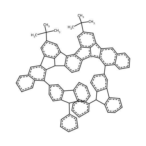 CC(C)(C)c1cc2c3c(c1)-c1c(ccc4c1c1cc(C(C)(C)C)cc5c6cc7ccccc7c(-c7ccc8c(c7)-c7ccccc7C8c7ccccc7)c6n4c51)C3c1c-2cc2ccccc2c1-c1ccc2c(c1)-c1ccccc1C2c1ccccc1